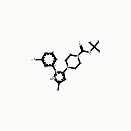 Cc1cc(N2CCN(C(=O)OC(C)(C)C)CC2)n(-c2cccc(F)c2)n1